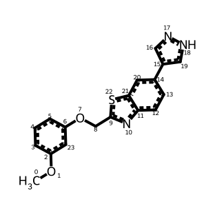 COc1cccc(OCc2nc3ccc(-c4cn[nH]c4)cc3s2)c1